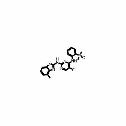 Cc1cccc2sc(Nc3ncc(Cl)c(Nc4ccccc4P(C)(C)=O)n3)nc12